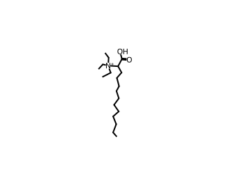 CCCCCCCCCCCC(C(=O)O)[N+](CC)(CC)CC